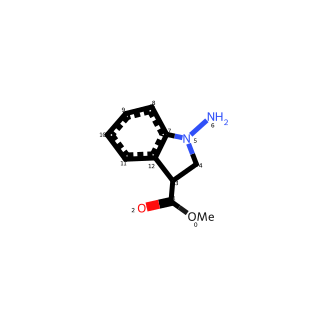 COC(=O)C1CN(N)c2ccccc21